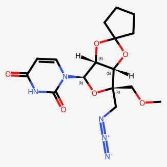 COC[C@@]1(CN=[N+]=[N-])O[C@@H](n2ccc(=O)[nH]c2=O)[C@@H]2OC3(CCCC3)O[C@@H]21